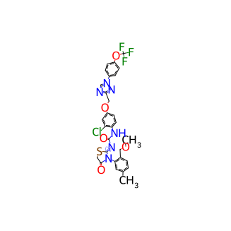 COCc1ccc(C)cc1N1C(=O)CS/C1=N\C(=O)Nc1ccc(OCc2ncn(-c3ccc(OC(F)(F)F)cc3)n2)cc1Cl